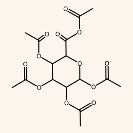 CC(=O)OC(=O)C1OC(OC(C)=O)C(OC(C)=O)C(OC(C)=O)C1OC(C)=O